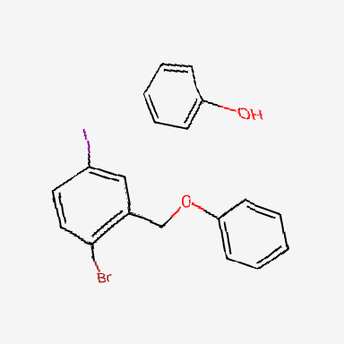 Brc1ccc(I)cc1COc1ccccc1.Oc1ccccc1